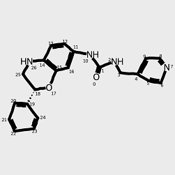 O=C(NCc1ccncc1)Nc1ccc2c(c1)O[C@H](c1ccccc1)CN2